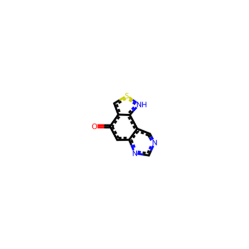 O=c1cc2ncncc2c2[nH]scc1-2